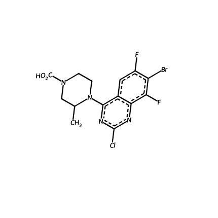 CC1CN(C(=O)O)CCN1c1nc(Cl)nc2c(F)c(Br)c(F)cc12